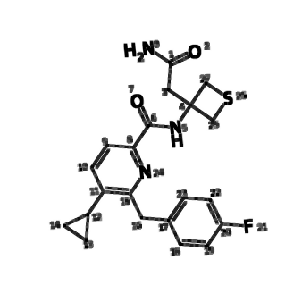 NC(=O)CC1(NC(=O)c2ccc(C3CC3)c(Cc3ccc(F)cc3)n2)CSC1